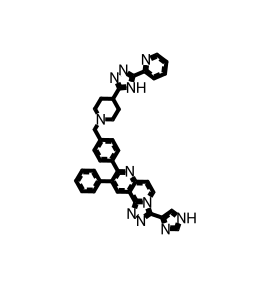 c1ccc(-c2cc3c(ccn4c(-c5c[nH]cn5)nnc34)nc2-c2ccc(CN3CCC(c4nnc(-c5ccccn5)[nH]4)CC3)cc2)cc1